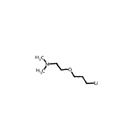 [Li][CH2]CCOCCN(C)C